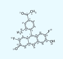 CC(=O)c1ccc(-c2c3cc(F)c(=O)cc-3oc3cc(O)c(F)cc23)c(C)c1